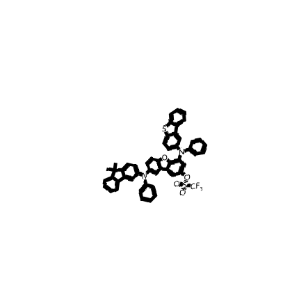 CC1(C)c2ccccc2-c2cc(N(c3ccccc3)c3ccc4oc5c(N(c6ccccc6)c6ccc7sc8ccccc8c7c6)cc(OS(=O)(=O)C(F)(F)F)cc5c4c3)ccc21